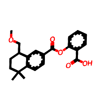 COCC1CCC(C)(C)c2ccc(C(=O)Oc3ccccc3C(=O)O)cc21